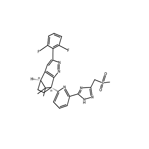 CC1(C)[C@H]2CC[C@]1(c1cccc(-c3nc(CS(C)(=O)=O)n[nH]3)n1)c1nnc(-c3c(F)cccc3F)cc12